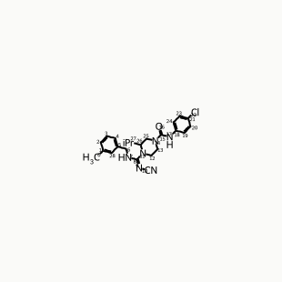 Cc1cccc(CN/C(=N/C#N)N2CCN(C(=O)Nc3ccc(Cl)cc3)CC2C(C)C)c1